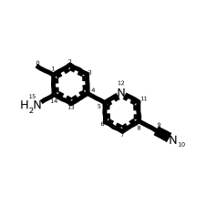 Cc1ccc(-c2ccc(C#N)cn2)cc1N